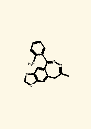 CC1=NN=C(c2ccccc2N)c2cc3c(cc2C1)OCO3